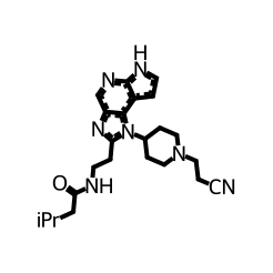 CC(C)CC(=O)NCCc1nc2cnc3[nH]ccc3c2n1C1CCN(CCC#N)CC1